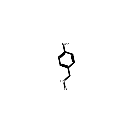 CNc1ccc(CNBr)cc1